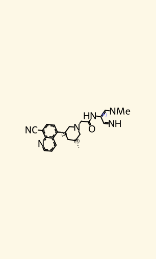 CN/C=C(\C=N)NC(=O)CN1C[C@H](C)C[C@@H](c2ccc(C#N)c3ncccc23)C1